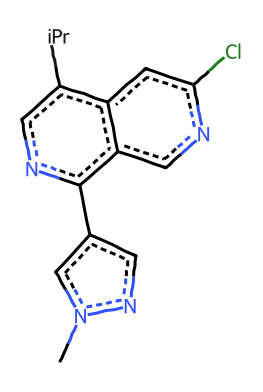 CC(C)c1cnc(-c2cnn(C)c2)c2cnc(Cl)cc12